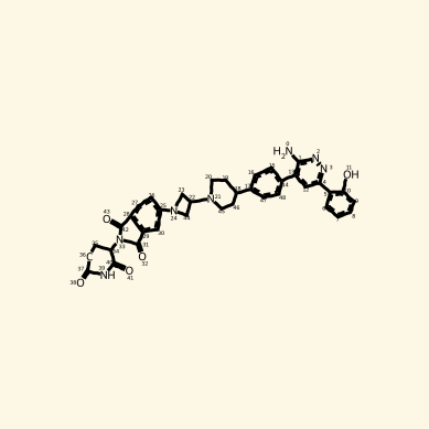 Nc1nnc(-c2ccccc2O)cc1-c1ccc(C2CCN(C3CN(c4ccc5c(c4)C(=O)N(C4CCC(=O)NC4=O)C5=O)C3)CC2)cc1